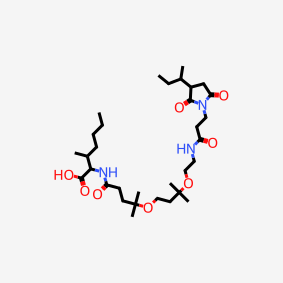 CCCCC(C)C(NC(=O)CCC(C)(C)OCCC(C)(C)OCCNC(=O)CCN1C(=O)CC(C(C)CC)C1=O)C(=O)O